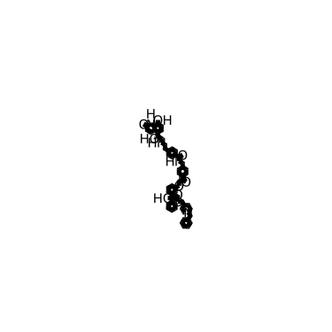 O=C(NCC1CCN(C(=O)COc2cccc(C(O)(C(=O)OCC3CCN(Cc4ccccc4)CC3)c3ccccc3)c2)CC1)c1ccc(CCNC[C@H](O)c2ccc(O)c3[nH]c(=O)ccc23)cc1